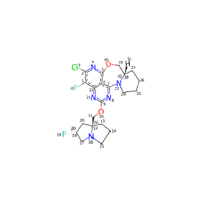 Fc1c(Cl)nc2c3c(nc(OC[C@@]45CCCN4C[C@H](F)C5)nc13)N1CCCC[C@H]1CO2